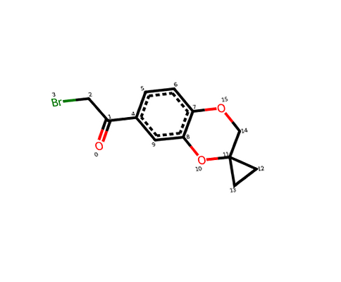 O=C(CBr)c1ccc2c(c1)OC1(CC1)CO2